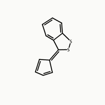 C1=CC(=C2SSc3ccccc32)C=C1